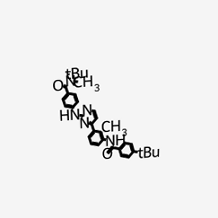 Cc1c(NC(=O)c2ccc(C(C)(C)C)cc2)cccc1-c1ccnc(Nc2ccc(C(=O)N(C)C(C)(C)C)cc2)n1